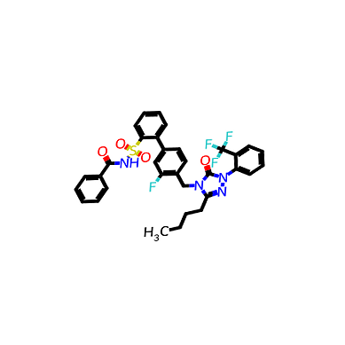 CCCCc1nn(-c2ccccc2C(F)(F)F)c(=O)n1Cc1ccc(-c2ccccc2S(=O)(=O)NC(=O)c2ccccc2)cc1F